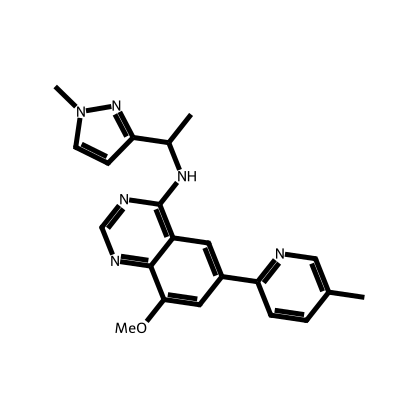 COc1cc(-c2ccc(C)cn2)cc2c(NC(C)c3ccn(C)n3)ncnc12